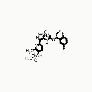 Cc1nc(-c2nnn(C)c2NC(=O)O[C@H](CF)c2cc(F)ccc2F)ccc1NS(C)(=O)=O